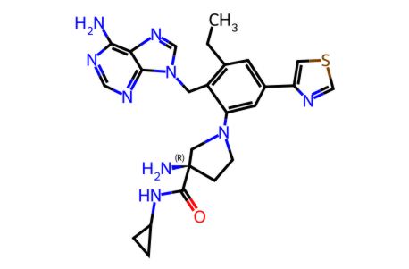 CCc1cc(-c2cscn2)cc(N2CC[C@](N)(C(=O)NC3CC3)C2)c1Cn1cnc2c(N)ncnc21